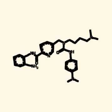 CN(C)CCCCN(Cc1ccc(C(=O)Nc2ccccc2N)nc1)C(=O)Nc1ccc(N(C)C)cc1